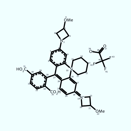 COC1CN(c2ccc3c(c2)[Si]2(CCCCC2)C2=CC(=[N+]4CC(OC)C4)C=CC2=C3c2cc(C(=O)O)ccc2C(=O)O)C1.O=C([O-])C(F)(F)F